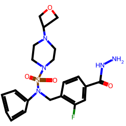 NNC(=O)c1ccc(CN(c2ccccc2)S(=O)(=O)N2CCN(C3COC3)CC2)c(F)c1